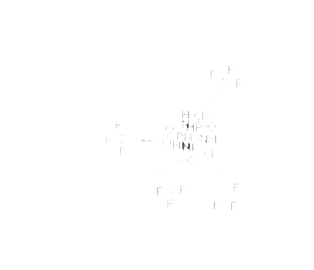 FC(F)(F)c1ccc(O[PH]2(Cl)N[PH](Cl)(Oc3ccc(C(F)(F)F)cc3)N[PH](Oc3ccc(C(F)(F)F)cc3)(Oc3ccc(C(F)(F)F)cc3)N2)cc1